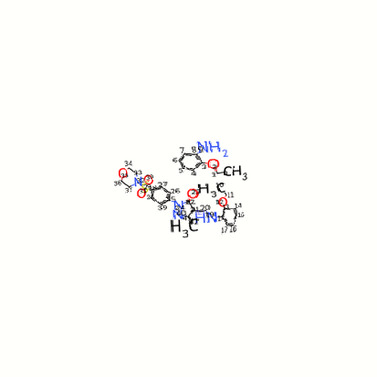 CCOc1ccccc1N.CCOc1ccccc1N/C=C1/C(=O)N(c2ccc(S(=O)(=O)N3CCOCC3)cc2)N=C1C